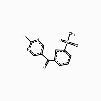 CS(=O)(=O)c1cccc(C(=O)c2cnc(Cl)nc2)c1